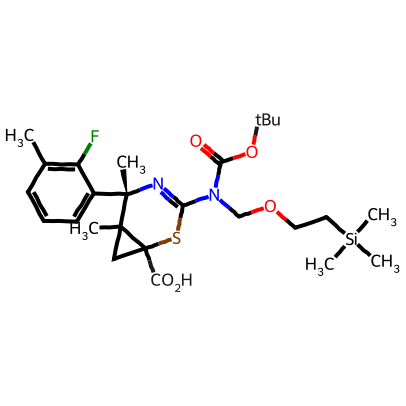 Cc1cccc([C@]2(C)N=C(N(COCC[Si](C)(C)C)C(=O)OC(C)(C)C)SC3(C(=O)O)CC32C)c1F